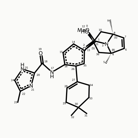 COC(=O)N1[C@@]2(C)C=C[C@]1(C)C[C@@](O)(c1ccc(NC(=O)c3nc(C)c[nH]3)c(C3=CCC(C)(C)CC3)c1)C2